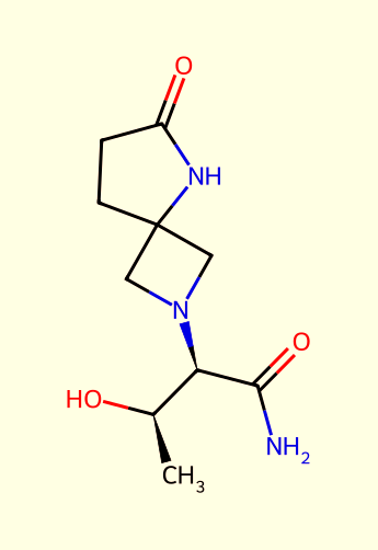 C[C@@H](O)[C@H](C(N)=O)N1CC2(CCC(=O)N2)C1